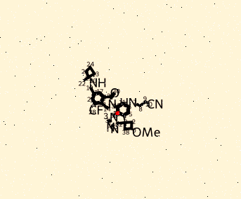 CO[C@H]1C[C@@](c2cc(NCCC#N)cc(N3Cc4c(cc(CNC5(C)CCC5)cc4C(F)(F)F)C3=O)c2)(c2nncn2C)C1